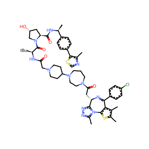 Cc1ncsc1-c1ccc([C@H](C)NC(=O)[C@@H]2C[C@@H](O)CN2C(=O)[C@@H](NC(=O)CN2CCC(N3CCCN(C(=O)C[C@@H]4N=C(c5ccc(Cl)cc5)c5c(sc(C)c5C)-n5c(C)nnc54)CC3)CC2)C(C)(C)C)cc1